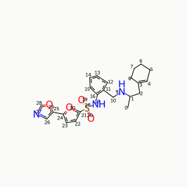 CC(CC1=CCCCC1)NCc1ccccc1NS(=O)(=O)c1ccc(-c2cnco2)o1